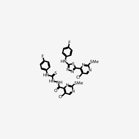 CSc1ncc(Cl)c(-c2nnc(Nc3ccc(F)cc3)s2)n1.CSc1ncc(Cl)c(C(=O)NNC(=S)Nc2ccc(F)cc2)n1